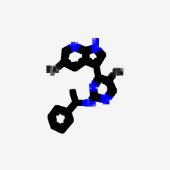 CC(Nc1ncc(C#N)c(-c2c[nH]c3ncc(C(F)(F)F)cc23)n1)c1ccccc1